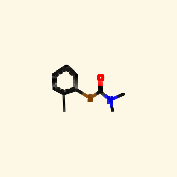 Cc1ccccc1SC(=O)N(C)C